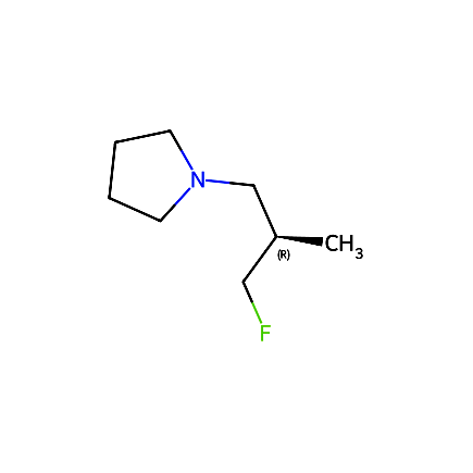 C[C@@H](CF)CN1CCCC1